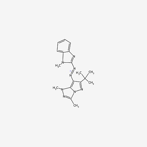 Cc1nn(C)c2c(/N=N/c3nc4ccccc4n3C)c(C(C)(C)C)nn12